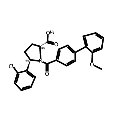 COc1ccccc1-c1ccc(C(=O)N2[C@@H](C(=O)O)CC[C@@H]2c2ccccc2Cl)cc1